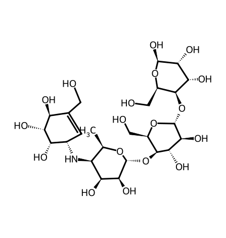 C[C@H]1O[C@H](O[C@@H]2[C@@H](O)[C@H](O)[C@@H](O[C@@H]3[C@@H](O)[C@@H](O)[C@H](O)O[C@@H]3CO)O[C@@H]2CO)[C@@H](O)[C@@H](O)[C@H]1N[C@H]1C=C(CO)[C@H](O)[C@@H](O)[C@H]1O